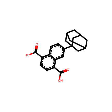 O=C(O)c1ccc(C(=O)O)c2cc(C34CC5CC(CC(C5)C3)C4)ccc12